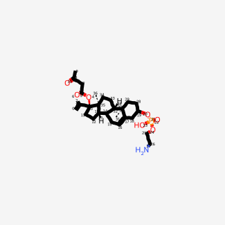 C=C(C)[C@@]1(OC(=O)CC(C)=O)CC[C@H]2C3CC=C4CC(OP(=O)(O)OCCN)CC[C@]4(C)[C@H]3CC[C@@]21C